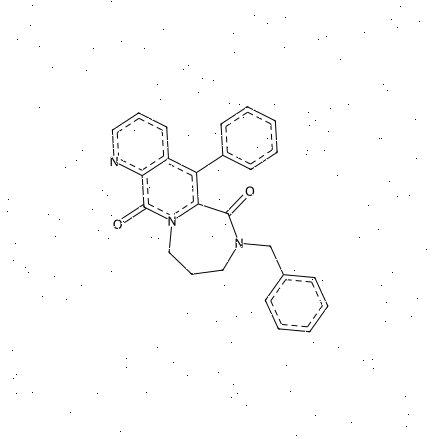 O=C1c2c(-c3ccccc3)c3cccnc3c(=O)n2CCCN1Cc1ccccc1